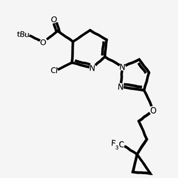 CC(C)(C)OC(=O)C1CC=C(n2ccc(OCCC3(C(F)(F)F)CC3)n2)N=C1Cl